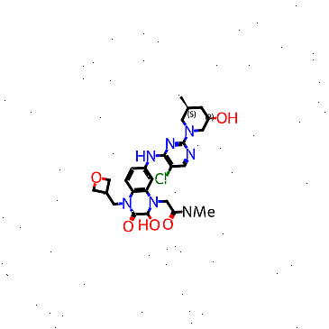 CNC(=O)CN1c2cc(Nc3nc(N4C[C@@H](C)C[C@@H](O)C4)ncc3Cl)ccc2N(CC2COC2)C(=O)C1O